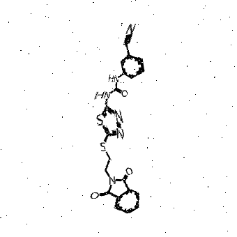 N#Cc1cccc(NC(=O)Nc2nnc(SCCN3C(=O)c4ccccc4C3=O)s2)c1